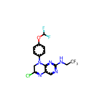 FC(F)Oc1ccc(N2CC(Cl)=Nc3cnc(NCC(F)(F)F)nc32)cc1